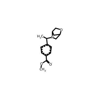 COC(=O)c1ccc(C(C)N2CC3CC2CO3)cc1